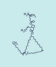 CC/C=C\CC1C(CC(=O)OCC(CCCCCCCCCCC2CC2CCCCCCCC)CCCCCCCCCC2CC2CCCCCCCC)CCC1OC(=O)CCCN(C)C